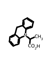 CC(C(=O)O)N1c2ccccc2Cc2ccccc21